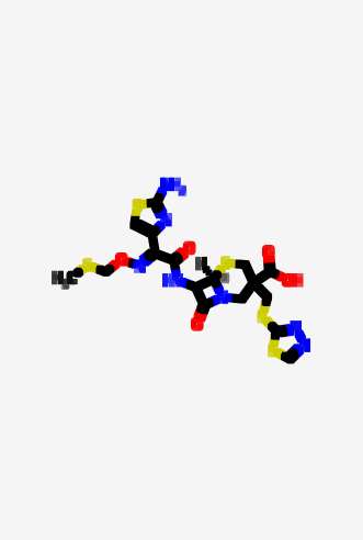 CSCON=C(C(=O)NC1C(=O)N2CC(CSc3nncs3)(C(=O)O)CS[C@H]12)c1csc(N)n1